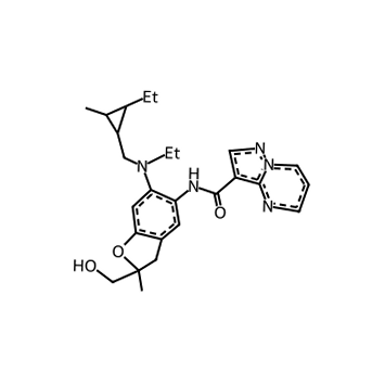 CCC1C(C)C1CN(CC)c1cc2c(cc1NC(=O)c1cnn3cccnc13)CC(C)(CO)O2